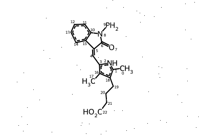 Cc1[nH]c(C=C2C(=O)N(P)c3ccccc32)c(C)c1CCCC(=O)O